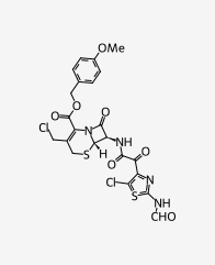 COc1ccc(COC(=O)C2=C(CCl)CS[C@H]3[C@H](NC(=O)C(=O)c4nc(NC=O)sc4Cl)C(=O)N23)cc1